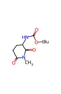 CN1C(=O)CCC(NC(=O)OC(C)(C)C)C1=O